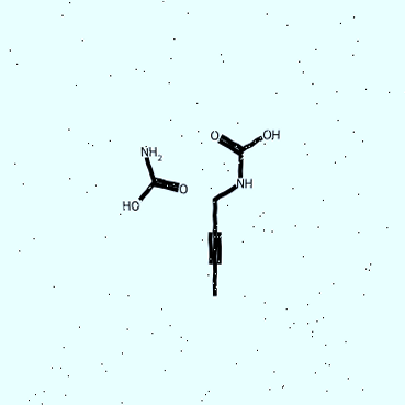 CC#CCNC(=O)O.NC(=O)O